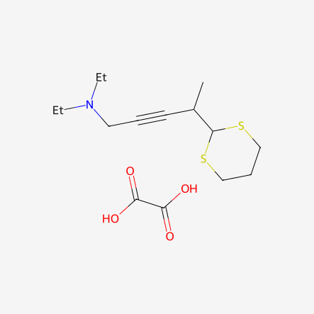 CCN(CC)CC#CC(C)C1SCCCS1.O=C(O)C(=O)O